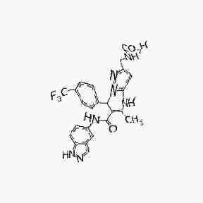 CC1=C(C(=O)Nc2ccc3[nH]ncc3c2)C(c2ccc(C(F)(F)F)cc2)n2nc(CNC(=O)O)cc2N1